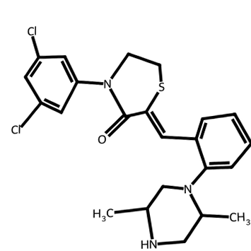 CC1CN(c2ccccc2C=C2SCCN(c3cc(Cl)cc(Cl)c3)C2=O)C(C)CN1